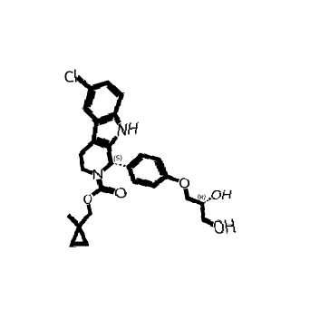 CC1(COC(=O)N2CCc3c([nH]c4ccc(Cl)cc34)[C@@H]2c2ccc(OC[C@H](O)CO)cc2)CC1